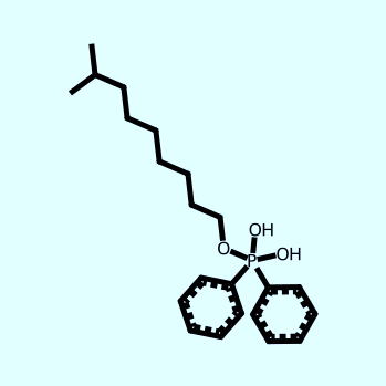 CC(C)CCCCCCCOP(O)(O)(c1ccccc1)c1ccccc1